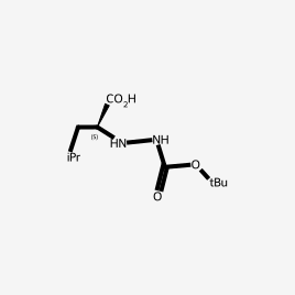 CC(C)C[C@H](NNC(=O)OC(C)(C)C)C(=O)O